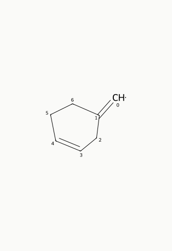 [CH]=C1CC=CCC1